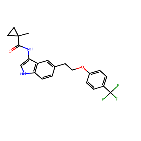 CC1(C(=O)Nc2c[nH]c3ccc(CCOc4ccc(C(F)(F)F)cc4)cc23)CC1